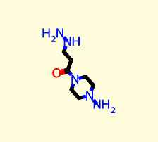 NNCCC(=O)N1CCN(N)CC1